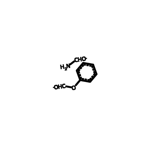 N[C]=O.O=[C]Oc1ccccc1